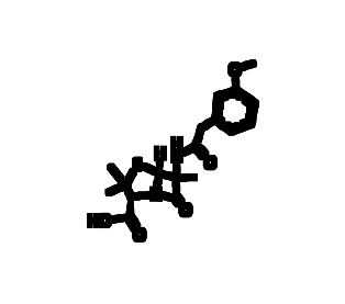 COc1cccc(CC(=O)NC2(C)C(=O)N3[C@@H](C(=O)O)C(C)(C)S[C@@H]32)c1